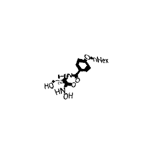 CCCCCCOc1ccc(C(=O)N[C@@H](CO)C(=O)NO)cc1